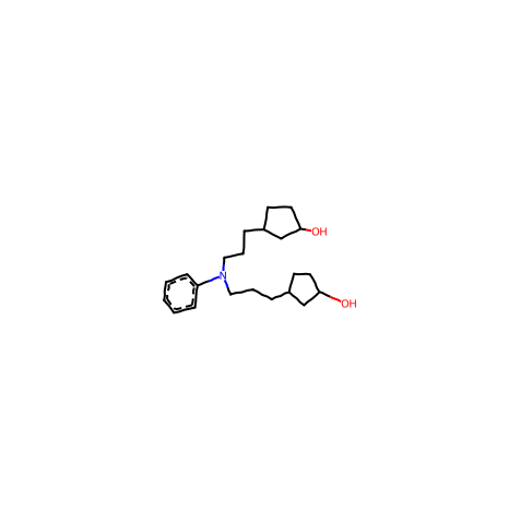 OC1CCC(CCCN(CCCC2CCC(O)C2)c2ccccc2)C1